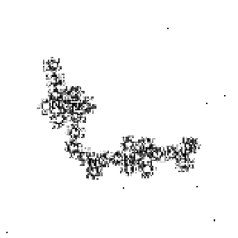 c1ccc(-c2ccc(-c3cc4c5ccccc5n5c6c(-c7ccccc7)c7c8cc(-c9ccc(-c%10cccc(-c%11ccc(-n%12c%13ccccc%13c%13cc(-c%14ccc%15c(c%14)c%14cccc%16c%17c(-c%18ccccc%18)c%18c(c(-c%19ccccc%19)c%17n%15c%14%16)c%14cccc%15c%16cc(-c%17ccc%19c(c%17)c%17ccccc%17n%19-c%17ccccc%17)ccc%16n%18c%15%14)ccc%13%12)cc%11)c%10)cc9)cc9c%10ccccc%10n(c7c(-c7ccccc7)c6c(c3)c45)c98)cc2)cc1